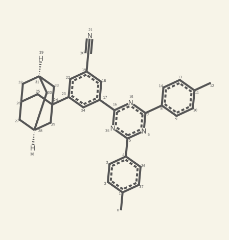 Cc1ccc(-c2nc(-c3ccc(C)cc3)nc(-c3cc(C#N)cc(C45CC6C[C@H](C4)C[C@@H](C6)C5)c3)n2)cc1